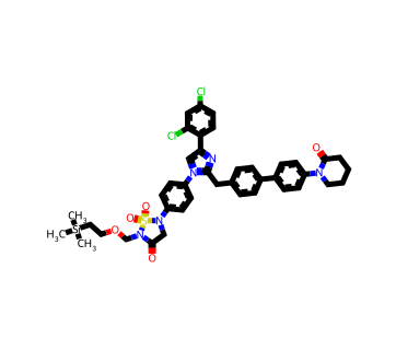 C[Si](C)(C)CCOCN1C(=O)CN(c2ccc(-n3cc(-c4ccc(Cl)cc4Cl)nc3Cc3ccc(-c4ccc(N5CCCCC5=O)cc4)cc3)cc2)S1(=O)=O